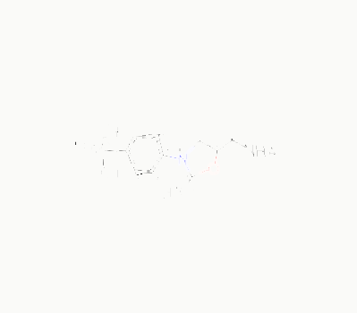 CC(=O)NCC1CN(c2cc[c]([Sn]([CH3])([CH3])[CH3])cc2)C(C=O)O1